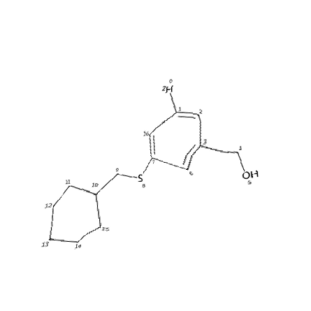 [2H]c1cc(CO)cc(SCC2CCCCC2)c1